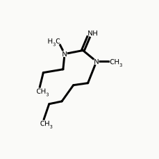 CCCCCN(C)C(=N)N(C)CCC